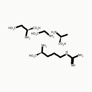 C[C@H](N)C(=O)O.N=C(N)NCCC[C@H](N)C(=O)O.NCC(=O)O.N[C@@H](CC(=O)O)C(=O)O